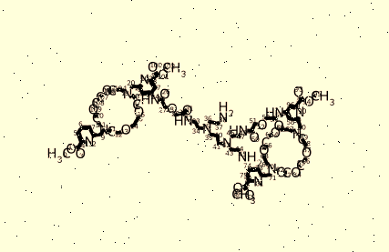 COC(=O)c1cccc(CN2CCOCCOCCN(Cc3cc(NC(=O)COCC(=O)NCCN(CCN)CCCN(CCN)CCNC(=O)COCC(=O)Nc4cc(CN5CCOCCOCCN(Cc6cccc(C(=O)OC)n6)CCOCCOCC5)nc(C(=O)OC)c4)cc(C(=O)OC)n3)CCOCCOCC2)n1